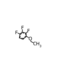 CCOc1ccc(F)c(F)c1F